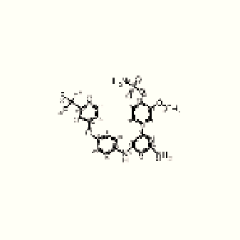 COc1cc(-c2cc(Nc3ccc(Oc4ccnc(C(F)(F)F)c4)cc3)nc(N)n2)ccc1OS(N)(=O)=O